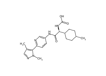 Cc1cnn(C)c1-c1ccc(NC(=O)[C@@H](NC(=O)O)C2CCC(C)CC2)cn1